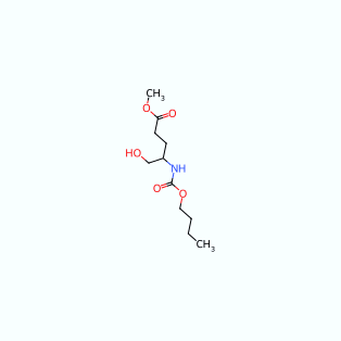 CCCCOC(=O)NC(CO)CCC(=O)OC